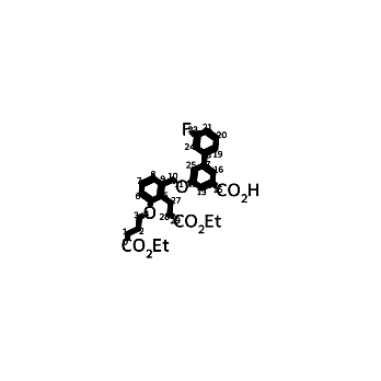 CCOC(=O)CCCOc1cccc(COc2cc(C(=O)O)cc(-c3cccc(F)c3)c2)c1CCC(=O)OCC